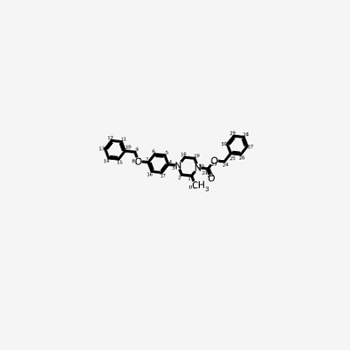 CC1CN(c2ccc(OCc3ccccc3)cc2)CCN1C(=O)OCc1ccccc1